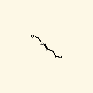 CCOC=CCCO